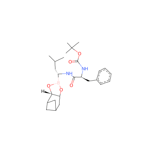 CC(C)C[C@H](NC(=O)[C@H](Cc1ccccc1)NC(=O)OC(C)(C)C)B1OC2CC3CC(C3)[C@@H]2O1